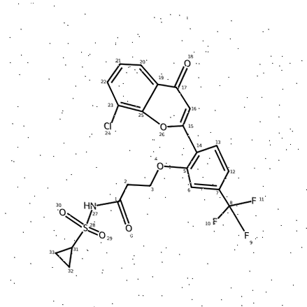 O=C(CCOc1cc(C(F)(F)F)ccc1-c1cc(=O)c2cccc(Cl)c2o1)NS(=O)(=O)C1CC1